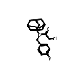 O=C(CCl)N(Cc1ccc(F)cc1)C12CC3CC(CC(C3)C1)C2